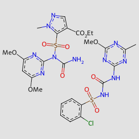 CCOC(=O)c1cnn(C)c1S(=O)(=O)N(C(N)=O)c1nc(OC)cc(OC)n1.COc1nc(C)nc(NC(=O)NS(=O)(=O)c2ccccc2Cl)n1